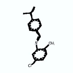 CC(C)c1ccc(/C=N/c2cc(Cl)ccc2O)cc1